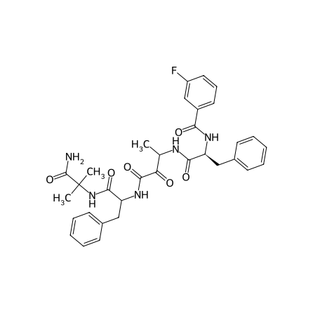 CC(NC(=O)[C@H](Cc1ccccc1)NC(=O)c1cccc(F)c1)C(=O)C(=O)NC(Cc1ccccc1)C(=O)NC(C)(C)C(N)=O